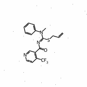 C=CCS/C(=N\C(=O)c1cnccc1C(F)(F)F)N(C)c1ccccc1